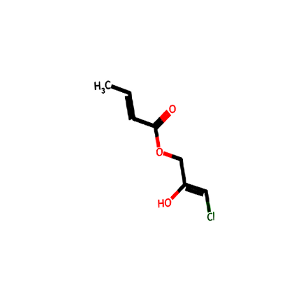 CC=CC(=O)OCC(O)=CCl